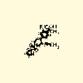 CC#C[C@@H]1CN(S(=O)(=O)c2nccs2)CCN1c1ccc(C(C)(O)C(F)(F)F)cc1